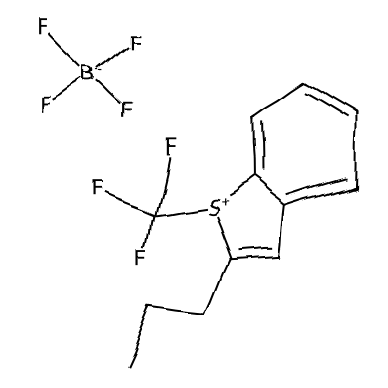 CCCc1cc2ccccc2[s+]1C(F)(F)F.F[B-](F)(F)F